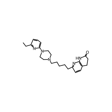 CCc1cccc(N2CCN(CCCCCc3ccc4c(n3)NC(=O)CC4)CC2)n1